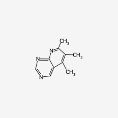 Cc1nc2ncncc2c(C)c1C